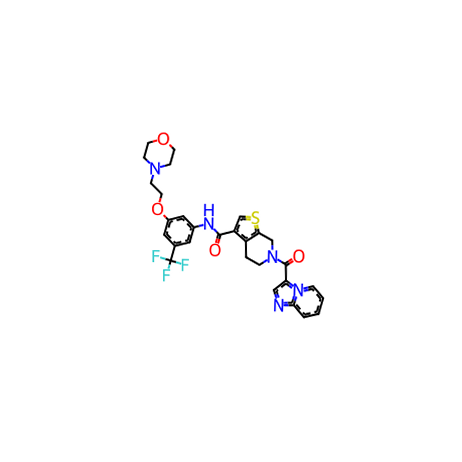 O=C(Nc1cc(OCCN2CCOCC2)cc(C(F)(F)F)c1)c1csc2c1CCN(C(=O)c1cnc3ccccn13)C2